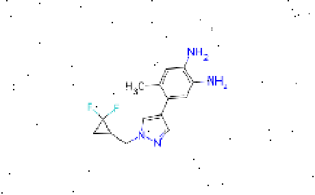 Cc1cc(N)c(N)cc1-c1cnn(CC2CC2(F)F)c1